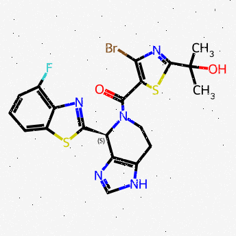 CC(C)(O)c1nc(Br)c(C(=O)N2CCc3[nH]cnc3[C@H]2c2nc3c(F)cccc3s2)s1